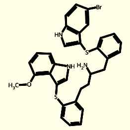 COc1cccc2[nH]cc(Sc3ccccc3CCC(N)Cc3ccccc3Sc3c[nH]c4ccc(Br)cc34)c12